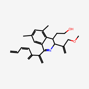 C=C/C=C\C(=C)C(=C)C1=NC(C(=C)COC)C(CCO)c2c(C)cc(C)cc21